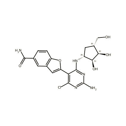 NC(=O)c1ccc2oc(-c3c(Cl)nc(N)nc3N[C@@H]3C[C@H](CO)[C@@H](O)[C@H]3O)cc2c1